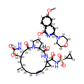 COc1ccc2c(O[C@@H]3C[C@H]4C(=O)NC5(C(=O)NS(=O)(=O)C6CC6)CC5/C=C\CC[C@@H](C)C[C@@H](C)[C@H](NC(=O)O)C(=O)N4C3)nc(N3CCOCC3)cc2c1